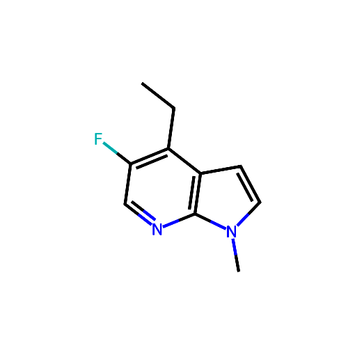 CCc1c(F)cnc2c1ccn2C